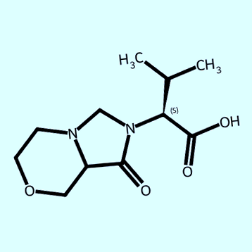 CC(C)[C@@H](C(=O)O)N1CN2CCOCC2C1=O